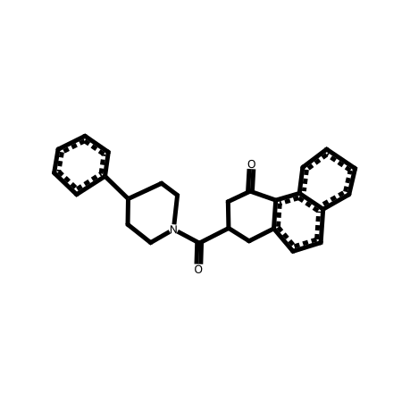 O=C1CC(C(=O)N2CCC(c3ccccc3)CC2)Cc2ccc3ccccc3c21